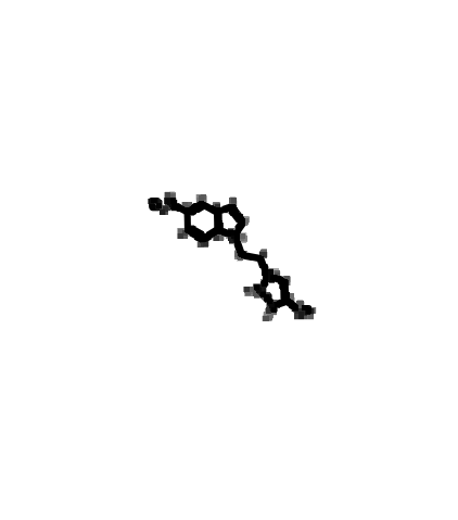 CCCc1cn(CCn2ccc3cc([N+](=O)[O-])ccc32)nn1